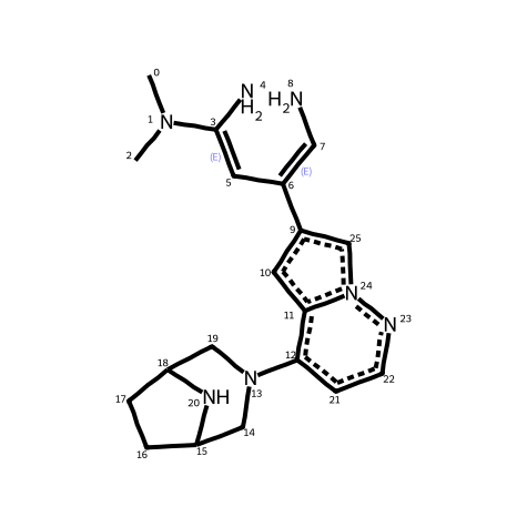 CN(C)/C(N)=C/C(=C\N)c1cc2c(N3CC4CCC(C3)N4)ccnn2c1